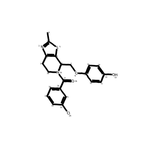 Cc1nc2c(s1)C(COc1ccc(O)cc1)N(C(=O)c1cccc(Cl)c1)CC2